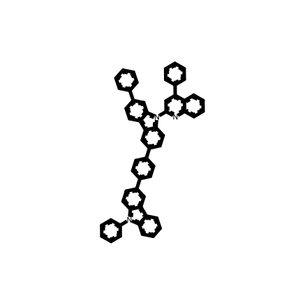 c1ccc(-c2ccc3c4cc(-c5ccc(-c6ccc7c(c6)c6ccccc6n7-c6ccccc6)cc5)ccc4n(-c4cc(-c5ccccc5)c5ccccc5n4)c3c2)cc1